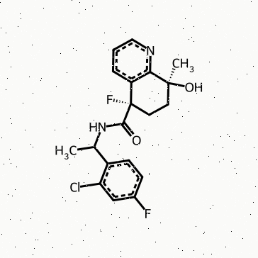 CC(NC(=O)[C@]1(F)CC[C@](C)(O)c2ncccc21)c1ccc(F)cc1Cl